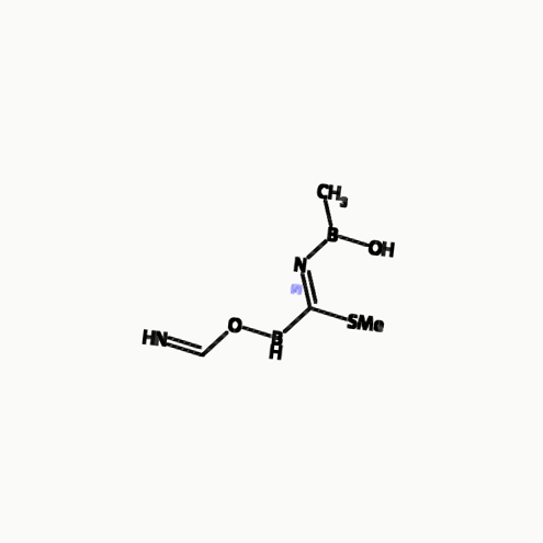 CS/C(BOC=N)=N\B(C)O